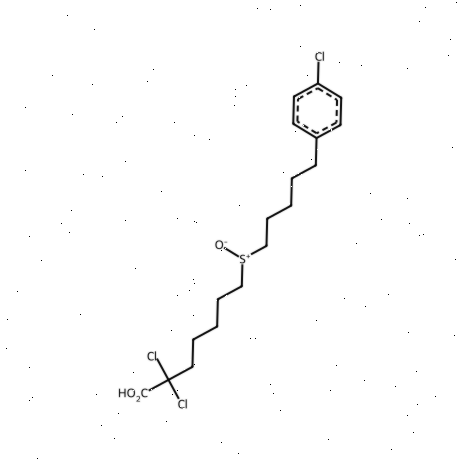 O=C(O)C(Cl)(Cl)CCCCC[S+]([O-])CCCCCc1ccc(Cl)cc1